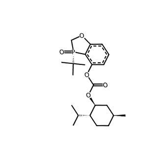 CC(C)[C@H]1CC[C@H](C)C[C@@H]1OC(=O)Oc1cccc2c1[P@](=O)(C(C)(C)C)CO2